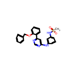 CS(=O)(=O)Nc1cccc(Nc2cc(-c3ccccc3OCc3ccccc3)ncn2)c1